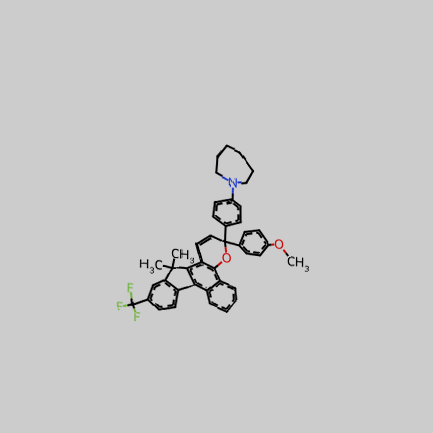 COc1ccc(C2(c3ccc(N4CCCCCC4)cc3)C=Cc3c4c(c5ccccc5c3O2)-c2ccc(C(F)(F)F)cc2C4(C)C)cc1